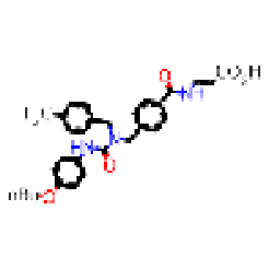 CCCCOc1ccc(NC(=O)N(Cc2ccc(C(=O)NCCC(=O)O)cc2)Cc2ccc(C(F)(F)F)cc2)cc1